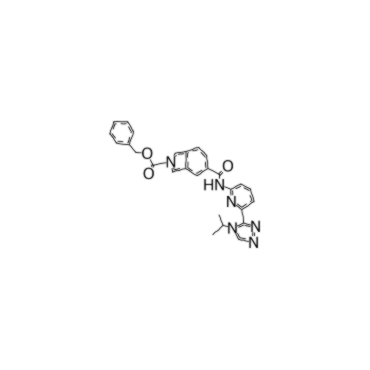 CC(C)n1cnnc1-c1cccc(NC(=O)c2ccc3cn(C(=O)OCc4ccccc4)cc3c2)n1